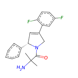 CC(C)(N)C(=O)N1CC(c2cc(F)ccc2F)=C[C@H]1c1ccccc1